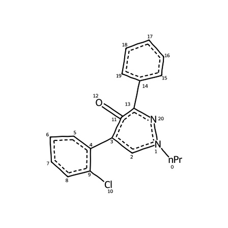 CCCn1cc(-c2ccccc2Cl)c(=O)c(-c2ccccc2)n1